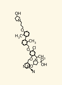 Cc1c(COc2cc(OCc3cncc(C#N)c3)c(C(C)N3C[C@H](O)C[C@H]3C(=O)O)cc2Cl)cccc1-c1cccc(OCCCN2CC[C@@H](O)C2)c1C